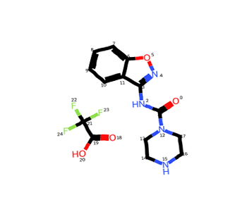 O=C(Nc1noc2ccccc12)N1CCNCC1.O=C(O)C(F)(F)F